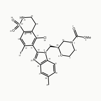 COC(=O)N1CCO[C@@H](Cn2c(-c3c(F)cc4c(c3Cl)CCNS4(=O)=O)nc3cc(C)ccc32)C1